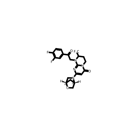 O=C(CN1c2nc(N3C[C@@H]4C[C@H]3CO4)cc(=O)n2CCC1C(F)(F)F)c1ccc(F)c(F)c1